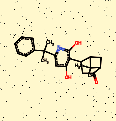 CC(C)(c1ccccc1)c1cc(O)c(C2CC(=O)C3CC2C3(C)C)c(O)n1